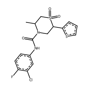 CC1CS(=O)(=O)C(c2cccs2)CN1C(=O)Nc1ccc(F)c(Cl)c1